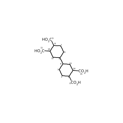 O=C(O)C1CCC(C2CCC(C(=O)O)C(C(=O)O)C2)CC1C(=O)O